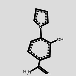 NC(=O)c1ccc(-n2cccc2)c(O)c1